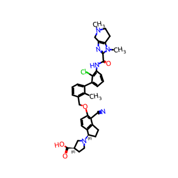 Cc1c(COc2ccc3c(c2C#N)CC[C@H]3N2CC[C@@H](C(=O)O)C2)cccc1-c1cccc(NC(=O)c2nc3c(n2C)CCN(C)C3)c1Cl